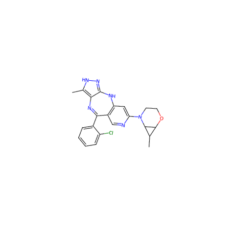 Cc1[nH]nc2c1N=C(c1ccccc1Cl)c1cnc(N3CCOC4C(C)C43)cc1N2